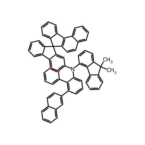 CC1(C)c2ccccc2-c2c(N(c3ccc4c(c3)C3(c5ccccc5-4)c4ccccc4-c4c3ccc3ccccc43)c3cccc(-c4ccc5ccccc5c4)c3-c3ccccc3)cccc21